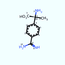 C[C@](N)(C(=O)O)c1ccc(C(=N)N)cc1